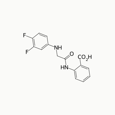 O=C(CNc1ccc(F)c(F)c1)Nc1ccccc1C(=O)O